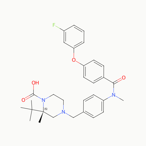 CN(C(=O)c1ccc(Oc2cccc(F)c2)cc1)c1ccc(CN2CCN(C(=O)O)[C@@](C)(C(C)(C)C)C2)cc1